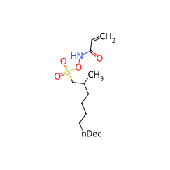 C=CC(=O)NOS(=O)(=O)CC(C)CCCCCCCCCCCCCC